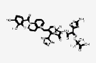 CC(C)(O/N=C(\C(=O)N[C@@H]1C(=O)N2C(C3NN=NN3)=C(C[n+]3cccc4c3CCCN4C(=O)c3ccc(O)c(O)c3Cl)CS[C@H]12)c1nsc(N)n1)C(=O)O